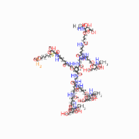 CC(=O)NC1C(O)CC(CO)OC1OCCCCC(=O)NCCCCC(NC(=O)CCCCOC1OC(CO)CC(O)C1NC(C)=O)C(=O)NCCNC(=O)c1cc(OCCNC(=O)CCCCCNC(=O)C(CC(=O)O)SCCCCCCO[PH2]=O)cc(C(=O)NCCNC(=O)C(CCCCNC(=O)CCCCOC2OC(CO)CC(O)C2NC(C)=O)NC(=O)CCCCOC2OC(CO)CC(O)C2NC(C)=O)c1